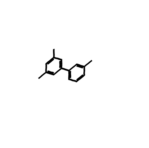 Cc1cccc(-c2cc(C)cc(C)c2)c1